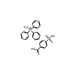 C[PH](c1ccccc1)(c1ccccc1)c1ccccc1.O=C(O)c1ccc(S(=O)(=O)O)cc1